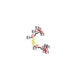 CCO[Si](CCCOC(CC)SSSSC(CC)OCCC[Si](OCC)(OCC)OCC)(OCC)OCC